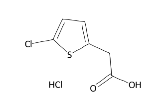 Cl.O=C(O)Cc1ccc(Cl)s1